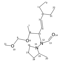 CCC(/C=C/C(C(C)OCOC)N(C=O)N1CCCC1C)CC